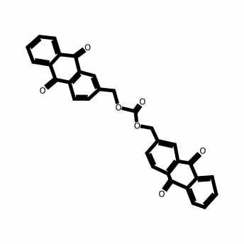 O=C(OCc1ccc2c(c1)C(=O)c1ccccc1C2=O)OCc1ccc2c(c1)C(=O)c1ccccc1C2=O